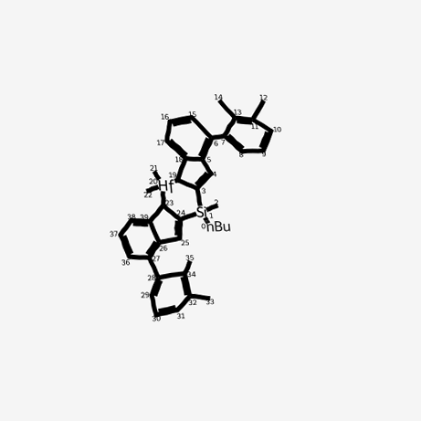 CCCC[Si]1(C)C2=Cc3c(-c4cccc(C)c4C)cccc3[CH]2[Hf]([CH3])([CH3])[CH]2C1=Cc1c(-c3cccc(C)c3C)cccc12